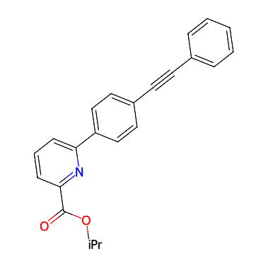 CC(C)OC(=O)c1cccc(-c2ccc(C#Cc3ccccc3)cc2)n1